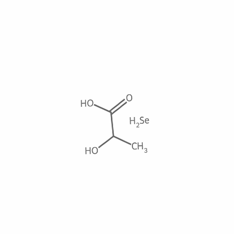 CC(O)C(=O)O.[SeH2]